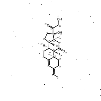 C/C=C1/C=C2CC[C@@H]3[C@H](C(=O)C[C@@]4(C)[C@H]3CC[C@]4(O)C(=O)CO)[C@@]2(C)CC1